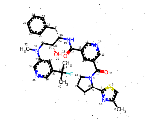 Cc1csc([C@H]2CCCN2C(=O)c2cncc(C(=O)N[C@@H](Cc3ccccc3)[C@H](O)CN(C)c3cncc(C(C)(C)F)c3)c2)n1